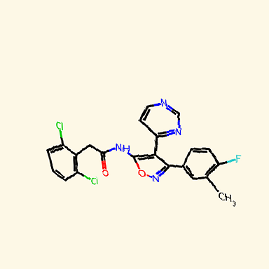 Cc1cc(-c2noc(NC(=O)Cc3c(Cl)cccc3Cl)c2-c2ccncn2)ccc1F